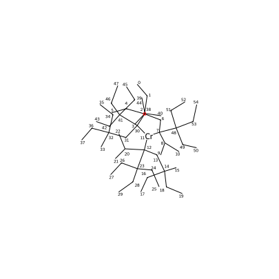 CCC(C)(CC)C[C](C(C)C)([Cr]([C](CC(C)(CC)CC)(C(C)C)C(CC)(CC)CC)[C](CC(C)(CC)CC)(C(C)C)C(CC)(CC)CC)C(CC)(CC)CC